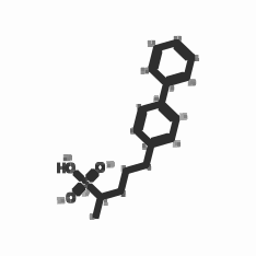 CC(CCCc1ccc(-c2ccccc2)cc1)S(=O)(=O)O